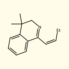 CC/C=C\C1=NCC(C)(C)c2ccccc21